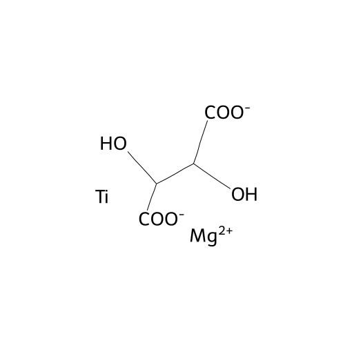 O=C([O-])C(O)C(O)C(=O)[O-].[Mg+2].[Ti]